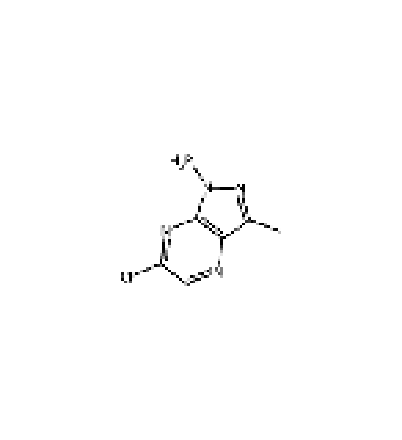 Cc1nn(P)c2nc(Cl)cnc12